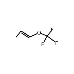 C/C=C/OC(F)(F)F